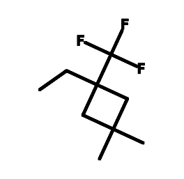 CCC1(C(F)(F)F)CC(C)(C)C1